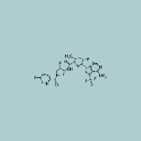 Cc1cc(F)c(-c2cc(C(F)(F)F)c3c(N)ncnn23)cc1C(=O)NC1CN(C(=O)c2ccc(F)cn2)CC1F